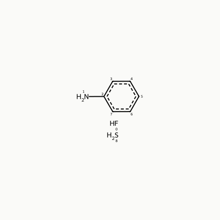 F.Nc1ccccc1.S